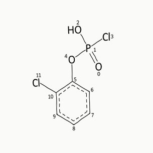 O=P(O)(Cl)Oc1ccccc1Cl